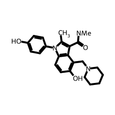 CNC(=O)c1c(C)n(-c2ccc(O)cc2)c2ccc(O)c(CN3CCCCC3)c12